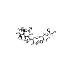 CCC(=O)c1ccc(Oc2ccc(-c3scc(-c4ccccc4Cl)c3CC(=O)O)cc2)cc1